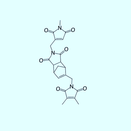 CC1=C(C)C(=O)N(CC2=CC3CC2C2C(=O)N(CC4=CC(=O)N(C)C4=O)C(=O)C32)C1=O